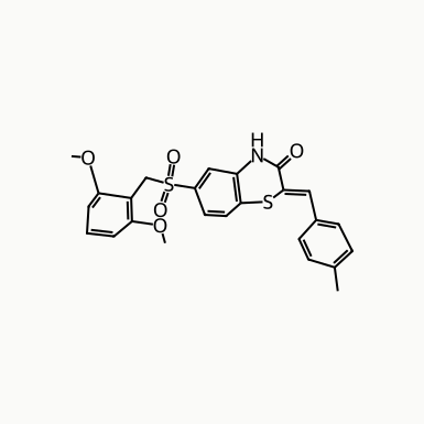 COc1cccc(OC)c1CS(=O)(=O)c1ccc2c(c1)NC(=O)C(=Cc1ccc(C)cc1)S2